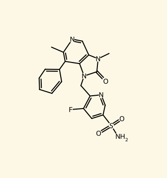 Cc1ncc2c(c1-c1ccccc1)n(Cc1ncc(S(N)(=O)=O)cc1F)c(=O)n2C